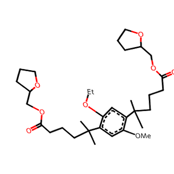 CCOc1cc(C(C)(C)CCCC(=O)OCC2CCCO2)c(OC)cc1C(C)(C)CCCC(=O)OCC1CCCO1